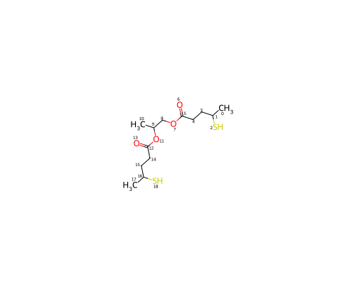 CC(S)CCC(=O)OCC(C)OC(=O)CCC(C)S